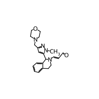 Cn1nc(CN2CCOCC2)cc1C1c2ccccc2CCN1C=CC=O